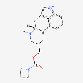 CN1C[C@H](COC(=O)N2CCC2)C=C2c3cccc4[nH]cc(c34)C[C@H]21